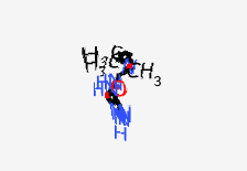 Cc1ccc(CN(C)CCCCNC(=O)Nc2cccc(Cc3nn[nH]n3)c2)cc1C